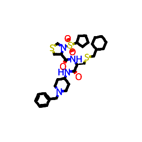 O=C(N[C@@H](CSCC1CCCCC1)C(=O)NC1CCN(Cc2ccccc2)CC1)C1CSCN1S(=O)(=O)C1CCCC1